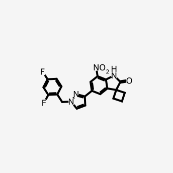 O=C1Nc2c([N+](=O)[O-])cc(-c3ccn(Cc4ccc(F)cc4F)n3)cc2C12CCC2